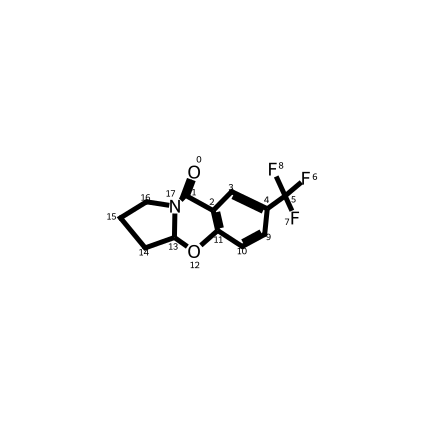 O=C1c2cc(C(F)(F)F)ccc2OC2CCCN12